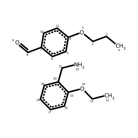 CCCOc1ccc(C=O)cc1.CCOc1ccccc1CN